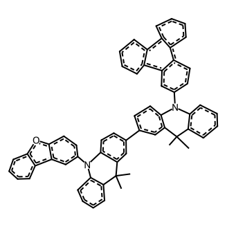 CC1(C)c2ccccc2N(c2ccc3oc4ccccc4c3c2)c2ccc(-c3ccc4c(c3)C(C)(C)c3ccccc3N4c3ccc4c5ccccc5c5ccccc5c4c3)cc21